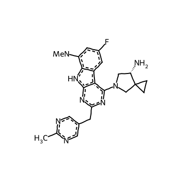 CNc1cc(F)cc2c1[nH]c1nc(Cc3cnc(C)nc3)nc(N3C[C@H](N)C4(CC4)C3)c12